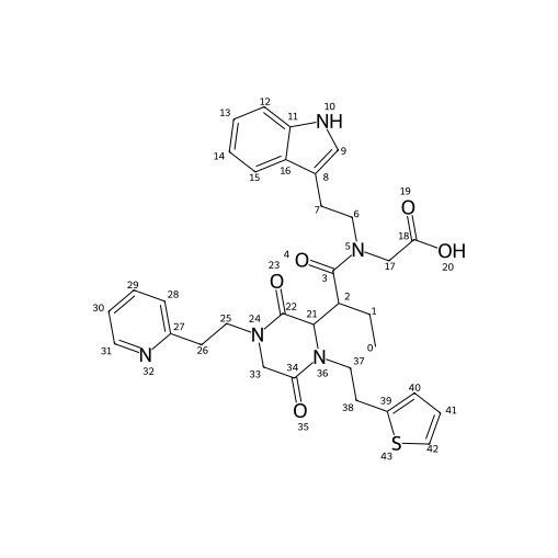 CCC(C(=O)N(CCc1c[nH]c2ccccc12)CC(=O)O)C1C(=O)N(CCc2ccccn2)CC(=O)N1CCc1cccs1